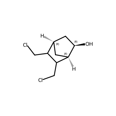 O[C@@H]1C[C@H]2C[C@@H]1C(CCl)C2CCl